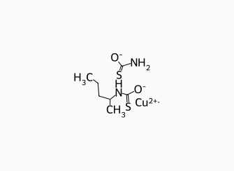 CCCC(C)NC([O-])=S.NC([O-])=S.[Cu+2]